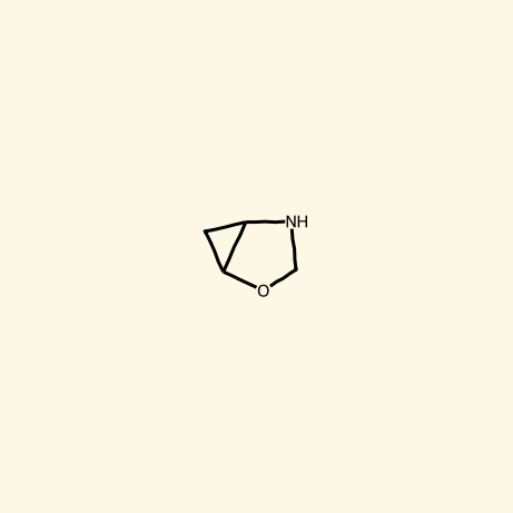 C1NC2CC2O1